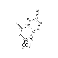 C=C1C[C@H](C(=O)O)Oc2ccc(Cl)cc21